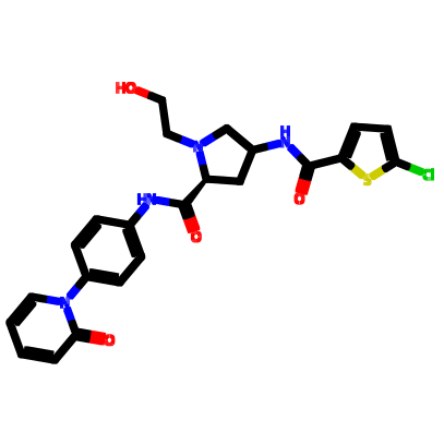 O=C(NC1C[C@@H](C(=O)Nc2ccc(-n3ccccc3=O)cc2)N(CCO)C1)c1ccc(Cl)s1